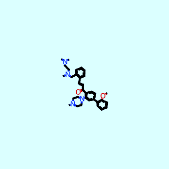 COc1ccccc1-c1ccc(C(=O)C=Cc2ccccc2CN(C)CCN(C)C)c(N2CCN(C)CC2)c1